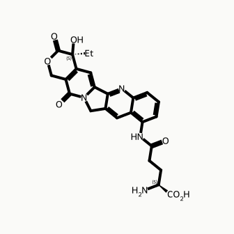 CC[C@@]1(O)C(=O)OCc2c1cc1n(c2=O)Cc2cc3c(NC(=O)CC[C@H](N)C(=O)O)cccc3nc2-1